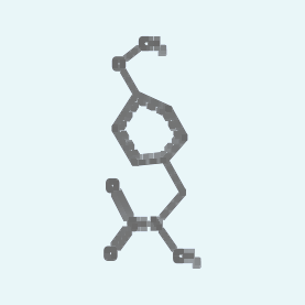 COc1ccc(CN(C)[SH](=O)=O)cc1